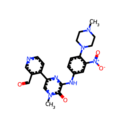 CN1CCN(c2ccc(Nc3nc(-c4ccncc4C=O)cn(C)c3=O)cc2[N+](=O)[O-])CC1